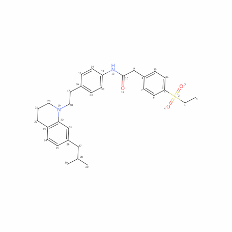 CCS(=O)(=O)c1ccc(CC(=O)Nc2ccc(CCN3CCCc4ccc(CC(C)C)cc43)cc2)cc1